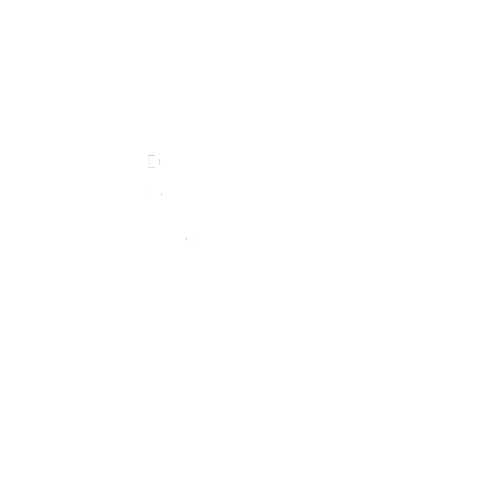 CCOCOC1CCCCCCCCCCC1